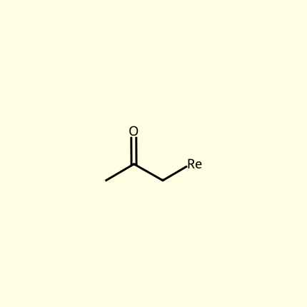 CC(=O)[CH2][Re]